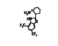 N[C@@H]1CCCCC1c1nc2cc(C(F)(F)F)cc(C(F)(F)F)c2[nH]1